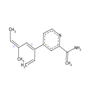 C=C/C(=C\C(C)=C/C)c1ccnc(C(=C)N)c1